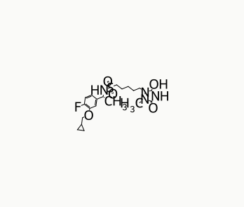 C[C@@H](NS(=O)(=O)CCCCCN1C(O)NC(=O)N1C)c1ccc(F)c(OCC2CC2)c1